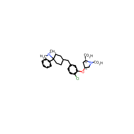 CN(C)C1(c2ccccc2)CCC(Cc2ccc(Cl)c(O[C@H]3C[C@@H](C(=O)O)N(C(=O)O)C3)c2)CC1